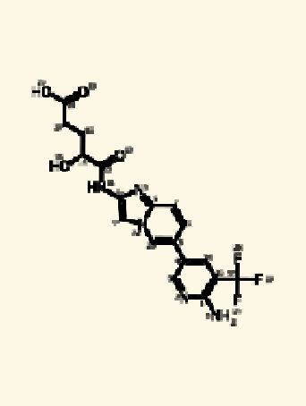 Nc1ncc(-c2ccc3nc(NC(=O)[C@@H](O)CCC(=O)O)cn3c2)cc1C(F)(F)F